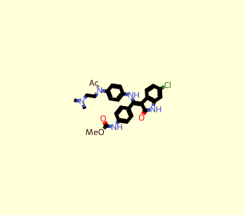 COC(=O)Nc1ccc(C(Nc2ccc(N(CCN(C)C)C(C)=O)cc2)=C2C(=O)Nc3cc(Cl)ccc32)cc1